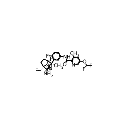 Cc1cc(OC(F)F)cnc1C(=O)Nc1ccc(F)c([C@@]2(C)N=C(N)[C@@]3(CF)CC[C@@H]2S3(=O)=O)c1